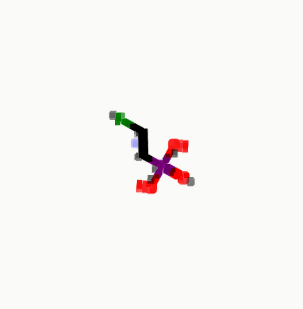 O=P(O)(O)/C=C/F